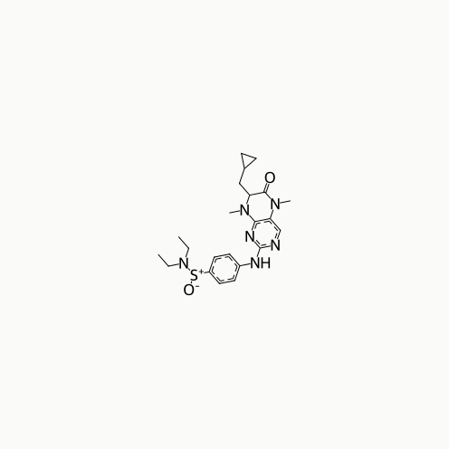 CCN(CC)[S+]([O-])c1ccc(Nc2ncc3c(n2)N(C)C(CC2CC2)C(=O)N3C)cc1